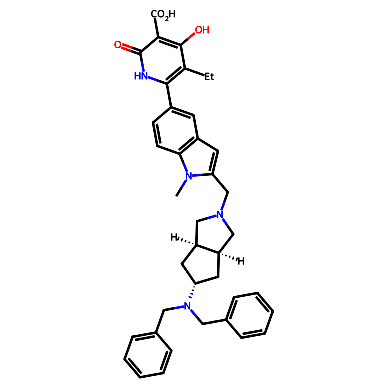 CCc1c(-c2ccc3c(c2)cc(CN2C[C@H]4C[C@H](N(Cc5ccccc5)Cc5ccccc5)C[C@H]4C2)n3C)[nH]c(=O)c(C(=O)O)c1O